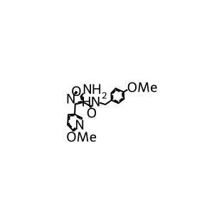 COc1ccc(CNC(=O)c2c(-c3ccc(OC)nc3)noc2N)cc1